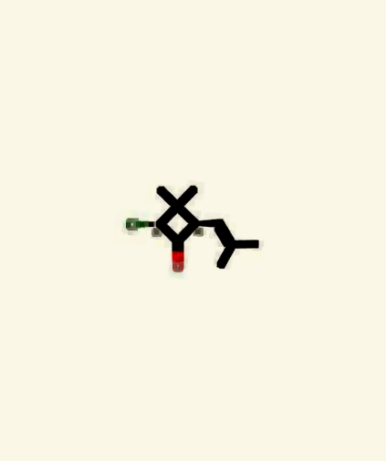 CC(C)=C[C@H]1C(=O)[C@H](Cl)C1(C)C